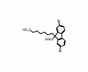 CCCCCCC1(CCCCCCS(=O)(=O)O)c2cc(Br)ccc2-c2ccc(Br)cc21